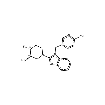 N#Cc1cnc(Cn2c(N3CC[C@@H](F)[C@H](N)C3)nc3ccccc32)cn1